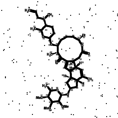 C=CCN(C)[C@H]1CCC(O[C@H]2CCC[C@H](CC)OC(=O)C[C@@H]3C(=C[C@@H]4[C@H]3C=C(C)[C@@H]3C[C@@H](O[C@@H]5OC(C)[C@H](OC)C(OC)C5OC)C[C@@H]43)C(=O)[C@@H]2C)OC1C